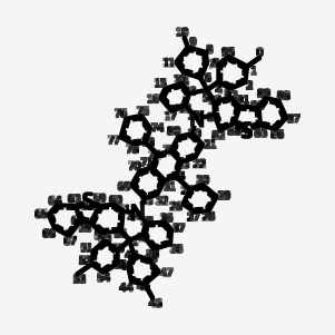 Cc1ccc(C2(c3ccc(C)cc3)c3ccccc3N(c3ccc4c(-c5ccccc5)c5cc(N6c7ccccc7C(c7ccc(C)cc7)(c7ccc(C)cc7)c7cc8c(cc76)sc6ccccc68)ccc5c(-c5ccccc5)c4c3)c3cc4sc5ccccc5c4cc32)cc1